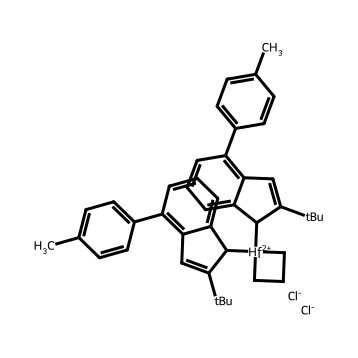 Cc1ccc(-c2cccc3c2C=C(C(C)(C)C)[CH]3[Hf+2]2([CH]3C(C(C)(C)C)=Cc4c(-c5ccc(C)cc5)cccc43)[CH2]C[CH2]2)cc1.[Cl-].[Cl-]